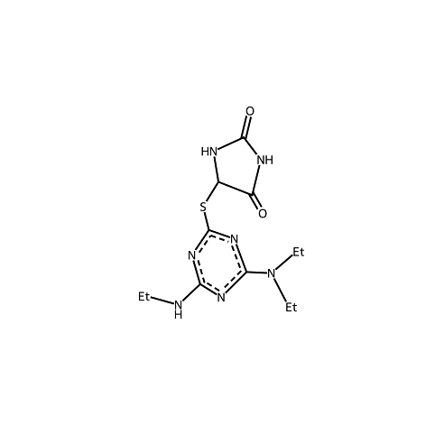 CCNc1nc(SC2NC(=O)NC2=O)nc(N(CC)CC)n1